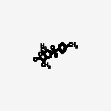 C=C1C(=O)OC2(C)CN(S(=O)(=O)c3ccc(C)cc3)CC12